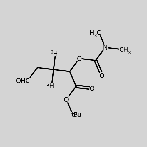 [2H]C([2H])(CC=O)C(OC(=O)N(C)C)C(=O)OC(C)(C)C